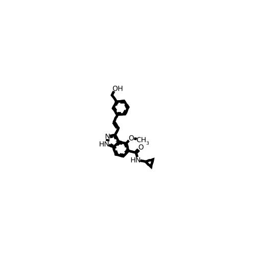 COc1c(C(=O)NC2CC2)ccc2[nH]nc(/C=C/c3cccc(CO)c3)c12